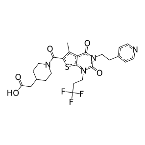 Cc1c(C(=O)N2CCC(CC(=O)O)CC2)sc2c1c(=O)n(CCc1ccncc1)c(=O)n2CCC(F)(F)F